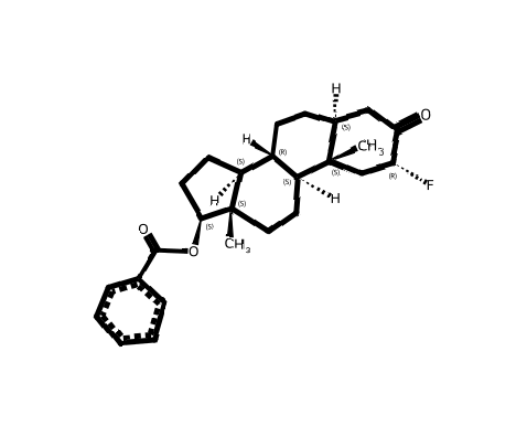 C[C@]12C[C@@H](F)C(=O)C[C@@H]1CC[C@@H]1[C@@H]2CC[C@]2(C)[C@@H](OC(=O)c3ccccc3)CC[C@@H]12